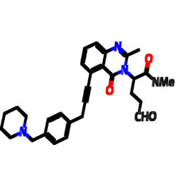 CNC(=O)C(CCC=O)n1c(C)nc2cccc(C#CCc3ccc(CN4CCCCC4)cc3)c2c1=O